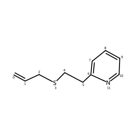 C=CCSCCc1ccccn1